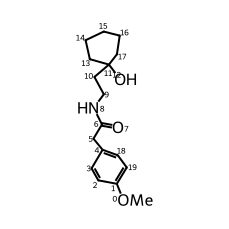 COc1ccc(CC(=O)NCCC2(O)CCCCC2)cc1